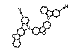 N#Cc1ccc2c(c1)c1ccccc1n2-c1ccc2oc3ccc(-n4c5ccc(C#N)cc5c5cc6oc7ccccc7c6cc54)cc3c2c1